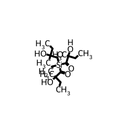 C=C[Si](C(=O)C(C)(O)CC)(C(=O)C(C)(O)CC)C(=O)C(C)(O)CC